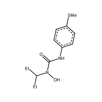 CCC(CC)N(O)C(=O)Nc1ccc(SC)cc1